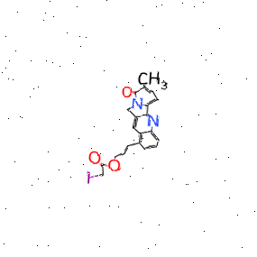 Cc1ccc2n(c1=O)Cc1cc3c(CCCOC(=O)CI)cccc3nc1-2